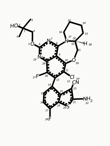 CC(C)(O)COc1nc2c3c(c(Cl)c(-c4ccc(F)c5sc(N)c(C#N)c45)c(F)c3n1)OC[C@@H]1CCCCN21